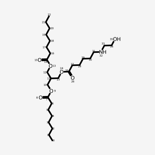 CCCCCCCC(=O)OCC(COC(=O)CCCCCCC)COC(=O)CCCCCNCCO